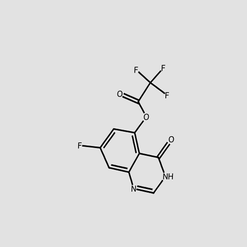 O=C(Oc1cc(F)cc2nc[nH]c(=O)c12)C(F)(F)F